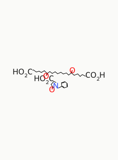 O=C(O)C1CC(=O)N(Cc2ccccc2)C1.O=C(O)CCCCCC(=O)CCCCCCCCC(=O)CCCCCC(=O)O